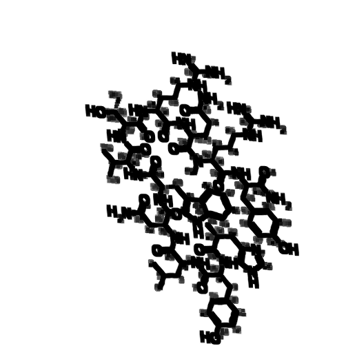 CC(C)C[C@H](NC(=O)[C@H](Cc1ccc(O)cc1)NC(=O)[C@@H](C)Cc1c[nH]cn1)C(=O)N[C@@H](CC(N)=O)C(=O)N[C@@H](Cc1c[nH]c2ccccc12)C(=O)N[C@H](C(=O)N[C@H](C(=O)N[C@@H](CCCNC(=N)N)C(=O)N[C@@H](CCC(N)=O)C(=O)N(C)[C@@H](CCCNC(=N)N)C(=O)NC(Cc1ccc(O)cc1)C(N)=O)[C@@H](C)O)C(C)C